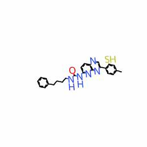 Cc1ccc(-c2cnc3ccc(NC(=O)NCCCCc4ccccc4)nc3n2)c(S)c1